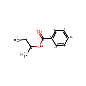 CC(=O)CC(C)OC(=O)c1ccccc1